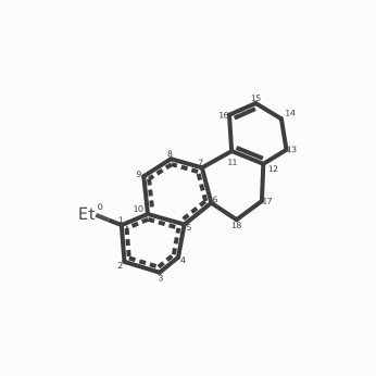 CCc1cccc2c3c(ccc12)C1=C(CCC=C1)CC3